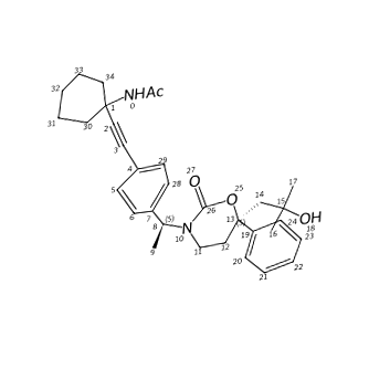 CC(=O)NC1(C#Cc2ccc([C@H](C)N3CC[C@](CC(C)(C)O)(c4ccccc4)OC3=O)cc2)CCCCC1